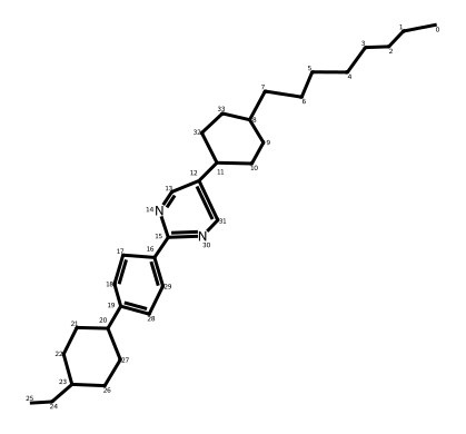 CCCCCCCCC1CCC(c2cnc(-c3ccc(C4CCC(CC)CC4)cc3)nc2)CC1